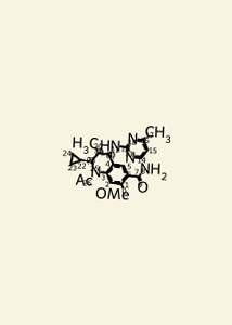 COc1cc2c(cc1C(N)=O)[C@H](Nc1nccc(C)n1)[C@@H](C)[C@H](C1CC1)N2C(C)=O